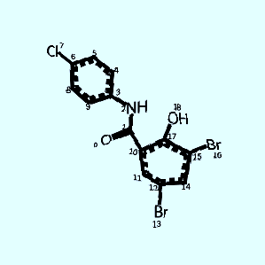 O=C(Nc1ccc(Cl)cc1)c1cc(Br)cc(Br)c1O